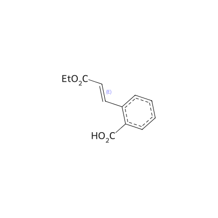 CCOC(=O)/C=C/c1ccccc1C(=O)O